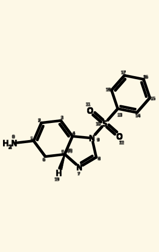 NC1=CC=C2[C@@H](C1)N=CN2S(=O)(=O)c1ccccc1